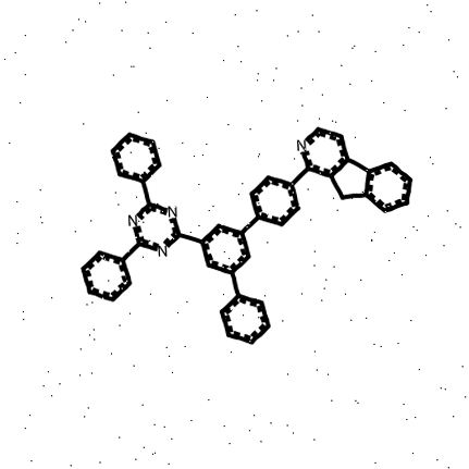 c1ccc(-c2cc(-c3ccc(-c4nccc5c4Cc4ccccc4-5)cc3)cc(-c3nc(-c4ccccc4)nc(-c4ccccc4)n3)c2)cc1